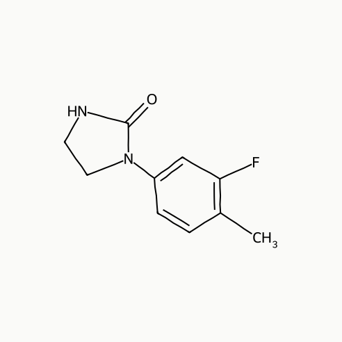 Cc1ccc(N2CCNC2=O)cc1F